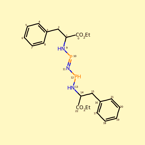 CCOC(=O)C(Cc1ccccc1)NP=NPNC(Cc1ccccc1)C(=O)OCC